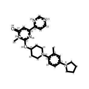 Cc1cc(N2CCCC2)ccc1N1CCC(Oc2nc(-c3ccncn3)cc(=O)n2C)CC1